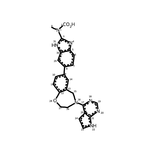 CN(C(=O)O)c1nc2ccc(-c3ccc4c(c3)CN(c3ncnc5[nH]ccc35)CCO4)cc2[nH]1